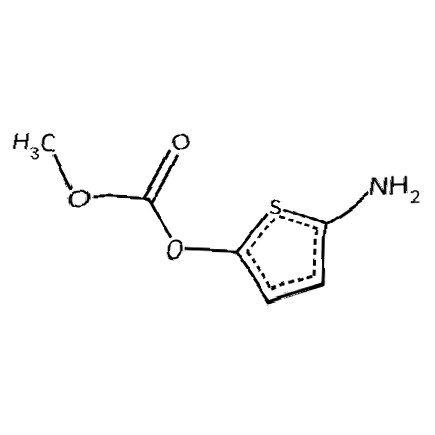 COC(=O)Oc1ccc(N)s1